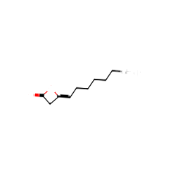 CCCCCCCCCCCC/C=C1/CC(=O)O1